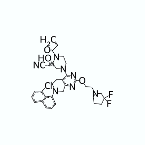 C=CC(=O)N1CCN(c2nc(OCCN3CCCC(F)(F)C3)nc3c2CCN(c2cccc4cccc(Cl)c24)C3)C[C@@]1(O)CC#N